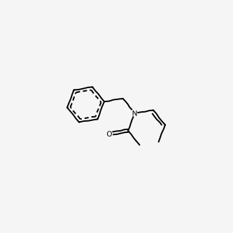 C/C=C\N(Cc1ccccc1)C(C)=O